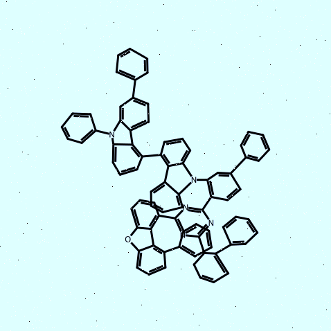 C1=CCC(c2nc(-c3ccc(-c4ccccc4)cc3-n3c4ccccc4c4c(-c5cccc6c5c5ccc(-c7ccccc7)cc5n6-c5ccccc5)cccc43)nc(-c3cccc4oc5cccc(-c6ccccc6)c5c34)n2)C(c2ccccc2)=C1